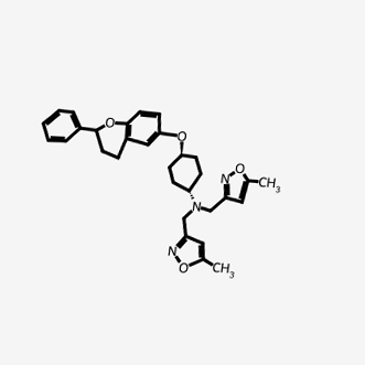 Cc1cc(CN(Cc2cc(C)on2)[C@H]2CC[C@H](Oc3ccc4c(c3)CCC(c3ccccc3)O4)CC2)no1